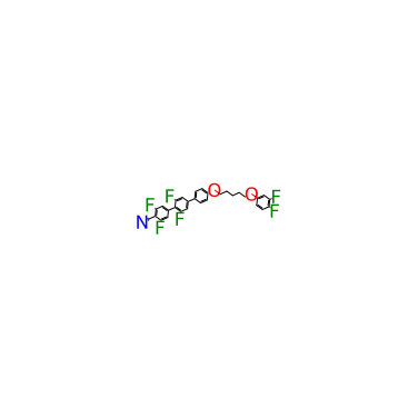 N#Cc1c(F)cc(-c2c(F)cc(-c3ccc(OCCCCCOc4ccc(F)c(F)c4)cc3)cc2F)cc1F